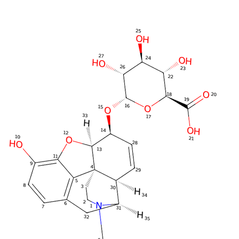 CN1CC[C@]23c4c5ccc(O)c4O[C@H]2[C@@H](O[C@H]2O[C@H](C(=O)O)[C@@H](O)[C@H](O)[C@H]2O)C=C[C@H]3[C@H]1C5